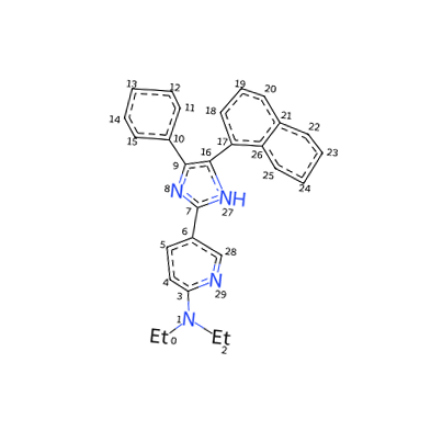 CCN(CC)c1ccc(-c2nc(-c3ccccc3)c(-c3cccc4ccccc34)[nH]2)cn1